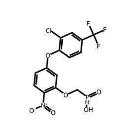 O=[N+]([O-])c1ccc(Oc2ccc(C(F)(F)F)cc2Cl)cc1OC[PH](=O)O